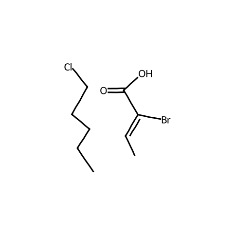 CC=C(Br)C(=O)O.CCCCCCl